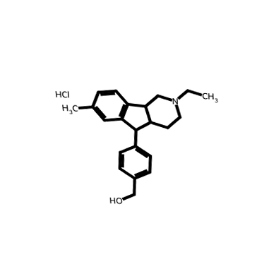 CCN1CCC2C(C1)c1ccc(C)cc1C2c1ccc(CO)cc1.Cl